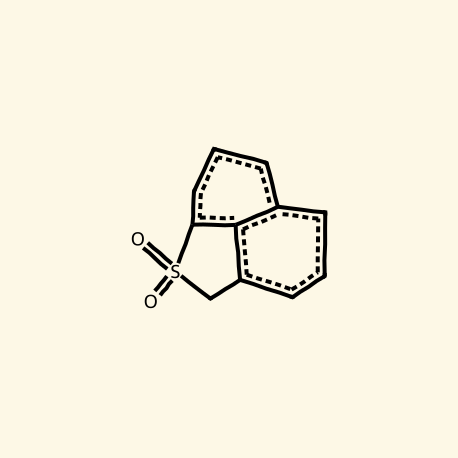 O=S1(=O)Cc2cccc3cccc1c23